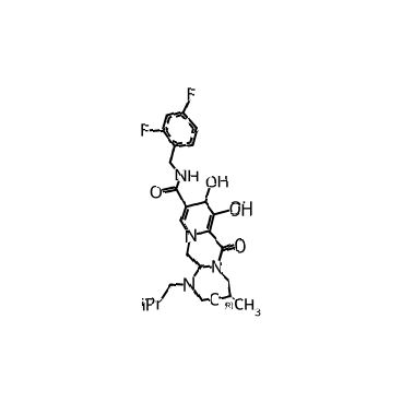 CC(C)CN1CC[C@@H](C)CN2C(=O)C3=C(O)C(O)C(C(=O)NCc4ccc(F)cc4F)=CN3CC12